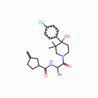 C=C1CCC(C(=O)NC(C(=O)N2CCC(O)(c3ccc(Cl)cc3)C(C)(C)C2)C(C)C)C1